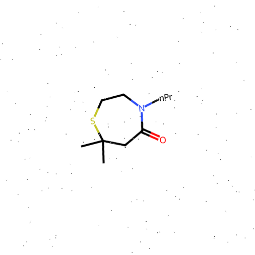 CCCN1CCSC(C)(C)[CH]C1=O